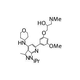 CNCC(O)COc1cc(OC)cc(-c2cc(NC3CCOCC3)c3c(C)nn(C(C)C)c3n2)c1